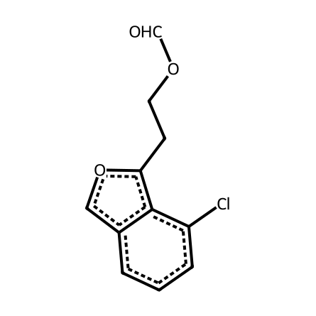 O=COCCc1occ2cccc(Cl)c12